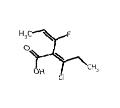 C/C=C(F)\C(C(=O)O)=C(\Cl)CC